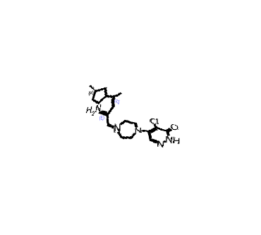 C/C(=C/C(=C\N)CN1CCN(c2cn[nH]c(=O)c2Cl)CC1)C1CC[C@@H](C)C1